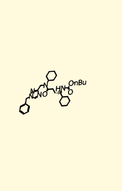 CCCCOC(=O)N[C@@H](CCC(=O)N(Cc1ncn(Cc2ccccc2)n1)C1CCCCC1)C1CCCCC1